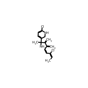 C=C(/C=C\C(Cl)=C/C)C(=C)C(C)(N)C1=CC=C(Cl)NC1